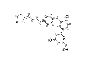 OCC1CC(O)CC(c2ccc(Cl)c(Cc3ccc(OCCOC4CCCC4)cc3)c2)O1